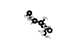 CCc1cc(-c2ccc(NS(=O)(=O)c3ccccc3Cl)c(F)c2)cc2cnc(NC3(CC(C)CC(N)=O)CCCCC3)nc12